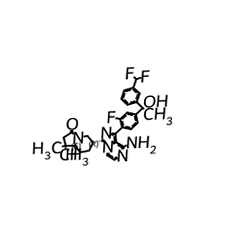 CC(O)(c1cccc(C(F)F)c1)c1ccc(-c2nc([C@@H]3CC[C@@H]4N(C3)C(=O)CC4(C)C)n3ccnc(N)c23)c(F)c1